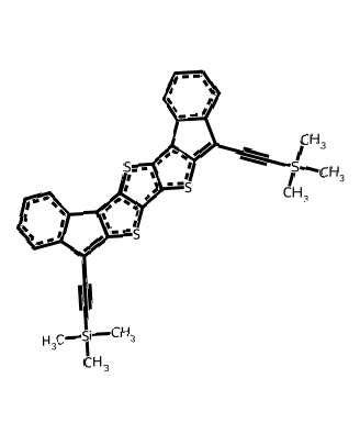 C[Si](C)(C)C#CC1=c2sc3c(sc4c5c(sc43)=C(C#CS(C)(C)C)c3ccccc3-5)c2-c2ccccc21